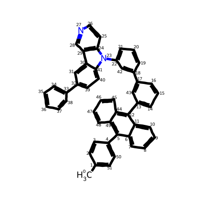 Cc1ccc(-c2c3ccccc3c(-c3cccc(-c4cccc(-n5c6ccncc6c6cc(-c7ccccc7)ccc65)c4)c3)c3ccccc23)cc1